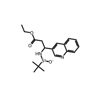 CCOC(=O)CC(N[S@@+]([O-])C(C)(C)C)c1cnc2ccccc2c1